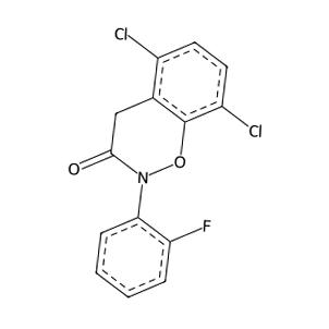 O=C1Cc2c(Cl)ccc(Cl)c2ON1c1ccccc1F